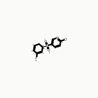 O=S(=O)(c1ccc(Cl)nc1)[C@@H]1[CH]C=CC(F)=C1